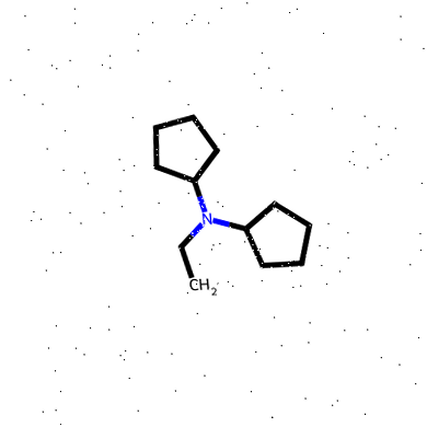 [CH2]CN(C1CCCC1)C1CCCC1